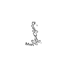 CNC(=O)c1csc2c(C(F)(F)F)cc(N3CCC(OC(=O)N4CC(OCC(F)(F)F)C4)CC3)nc12